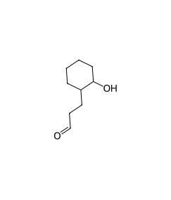 O=CCCC1CCCCC1O